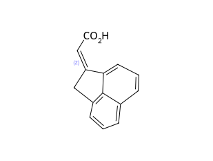 O=C(O)/C=C1/Cc2cccc3cccc1c23